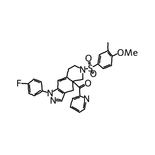 COc1ccc(S(=O)(=O)N2CCC3=Cc4c(cnn4-c4ccc(F)cc4)CC3(C(=O)c3ccccn3)C2)cc1C